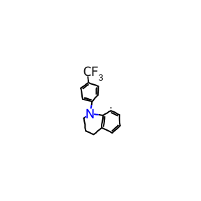 FC(F)(F)c1ccc(N2CCCc3ccc[c]c32)cc1